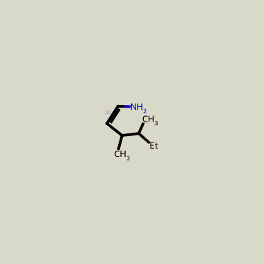 CCC(C)C(C)/C=C\N